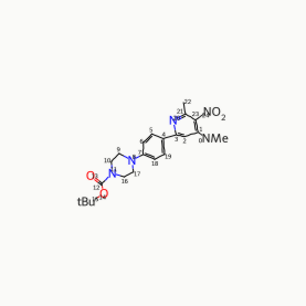 CNc1cc(-c2ccc(N3CCN(C(=O)OC(C)(C)C)CC3)cc2)nc(C)c1[N+](=O)[O-]